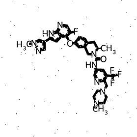 C[C@@H]1Cc2ccc(Oc3c(F)cnc4[nH]c(-c5cnn(C)c5)cc34)cc2CN1C(=O)Nc1cnc(CN2CCN(C)CC2)c(C(F)(F)F)c1